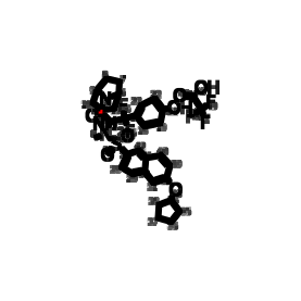 CN(C(C(=O)N1C2CCC1CC(N)C2)C(F)(F)c1ccc(O)cc1)S(=O)(=O)c1ccc2cc(OC3CCCC3)ccc2c1.O=C(O)C(F)(F)F